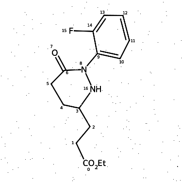 CCOC(=O)CCC1CCC(=O)N(c2ccccc2F)N1